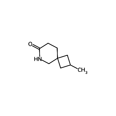 CC1CC2(CCC(=O)NC2)C1